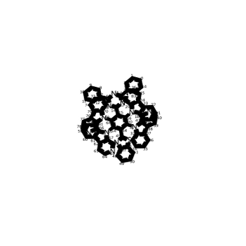 c1ccc(-c2nc(-c3ccccc3)nc(-c3c(-n4c5ccccc5c5ccncc54)c(-n4c5ccccc5c5ccncc54)c(-c4nc5ccccc5s4)c(-n4c5ccccc5c5ccncc54)c3-n3c4ccccc4c4ccncc43)n2)cc1